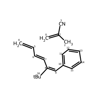 C=C(C)C#N.C=CC=CC(=Cc1ccccc1)C(C)(C)C